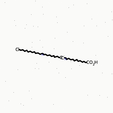 O=C(O)CCCCCCCCCC/C=C/CCCCCCCCCC/C=C/CCCCCCCCCCCCl